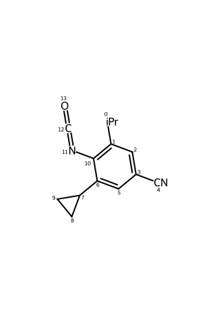 CC(C)c1cc(C#N)cc(C2CC2)c1N=C=O